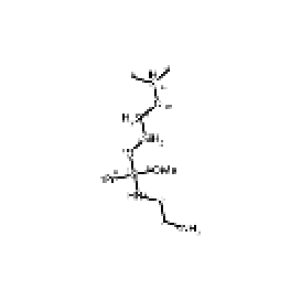 CCC[Si](NCCN)(OC)O[SiH2][SiH2]O[SiH](C)C